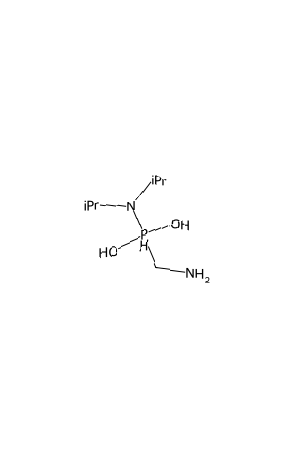 CC(C)N(C(C)C)[PH](O)(O)CN